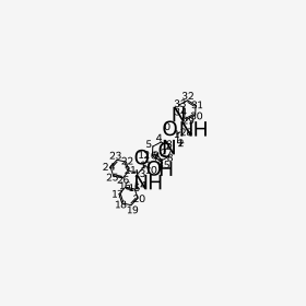 O=C(C[N+]12CCC(CC1)[C@@H](OC(=O)C(Nc1ccccc1)c1ccccc1)C2)Nc1ccccn1